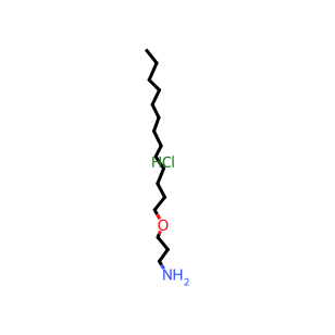 CCCCCCCCCCCCCOCCCN.Cl